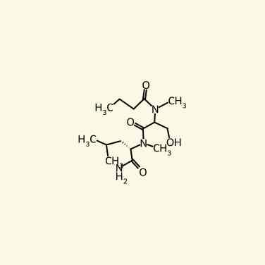 CCCC(=O)N(C)C(CO)C(=O)N(C)[C@@H](CC(C)C)C(N)=O